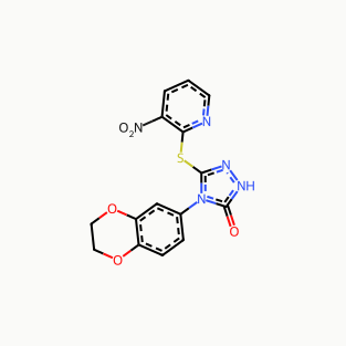 O=c1[nH]nc(Sc2ncccc2[N+](=O)[O-])n1-c1ccc2c(c1)OCCO2